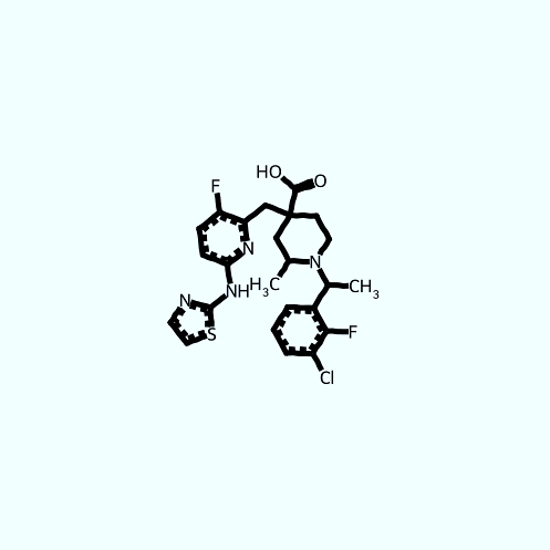 CC1CC(Cc2nc(Nc3nccs3)ccc2F)(C(=O)O)CCN1C(C)c1cccc(Cl)c1F